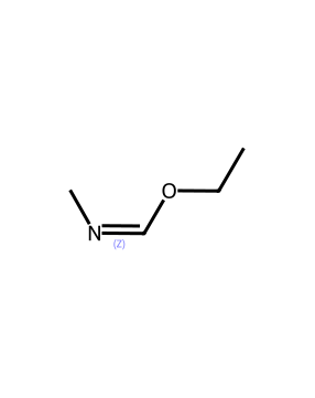 CCO/C=N\C